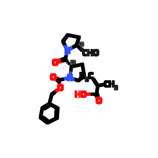 CC(C)C(=O)O.O=C[C@@H]1CCCN1C(=O)[C@@H]1CCCN1C(=O)OCc1ccccc1